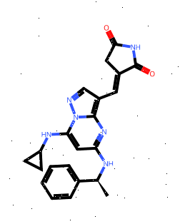 C[C@H](Nc1cc(NC2CC2)n2ncc(/C=C3\CC(=O)NC3=O)c2n1)c1ccccc1